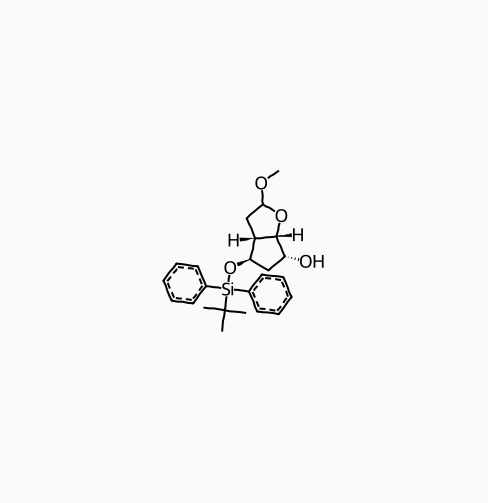 COC1C[C@@H]2[C@H](O1)[C@H](O)C[C@H]2O[Si](c1ccccc1)(c1ccccc1)C(C)(C)C